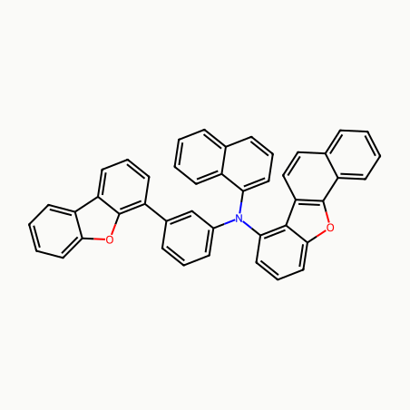 c1cc(-c2cccc3c2oc2ccccc23)cc(N(c2cccc3ccccc23)c2cccc3oc4c5ccccc5ccc4c23)c1